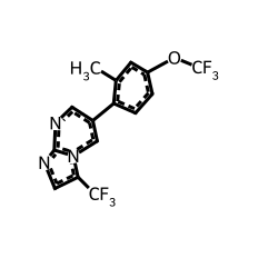 Cc1cc(OC(F)(F)F)ccc1-c1cnc2ncc(C(F)(F)F)n2c1